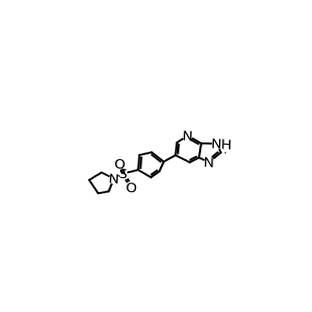 O=S(=O)(c1ccc(-c2cnc3[nH][c]nc3c2)cc1)N1CCCC1